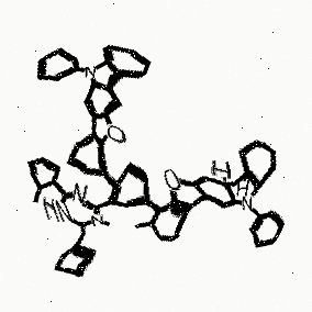 CC1C=CC2=C(OC3C[C@@H]4C(C=C23)N(C2=CC=CCC2)C2CCCC[C@@H]24)C1c1ccc(-c2cccc3c4c(oc23)=CC2c3ccccc3N(c3ccccc3)C2C=4)c(C2=NC(C3C=CC=CC3C)NC(C3=CCCC3)N2C)c1